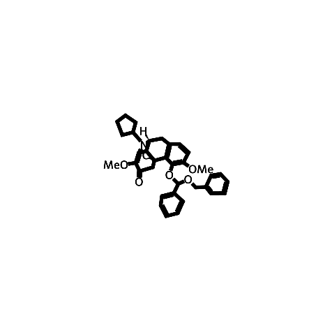 COC1=CC2[C@@H]3Cc4ccc(OC)c(OC(OCc5ccccc5)c5ccccc5)c4[C@]2(CCN3C2CCCC2)CC1=O